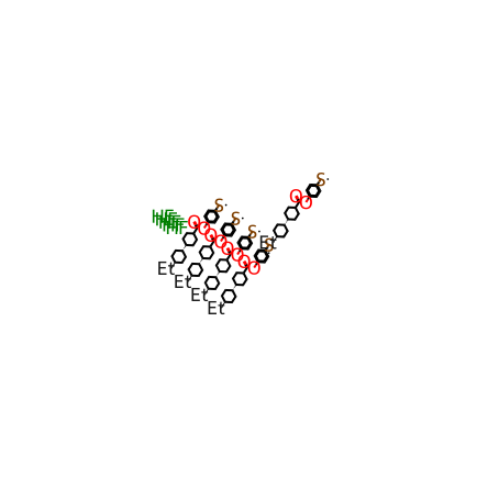 CC[C@H]1CC[C@H](C2CCC(C(=O)Oc3ccc([S])cc3)CC2)CC1.CC[C@H]1CC[C@H](C2CCC(C(=O)Oc3ccc([S])cc3)CC2)CC1.CC[C@H]1CC[C@H](C2CCC(C(=O)Oc3ccc([S])cc3)CC2)CC1.CC[C@H]1CC[C@H](C2CCC(C(=O)Oc3ccc([S])cc3)CC2)CC1.CC[C@H]1CC[C@H](C2CCC(C(=O)Oc3ccc([S])cc3)CC2)CC1.F.F.F.F.F